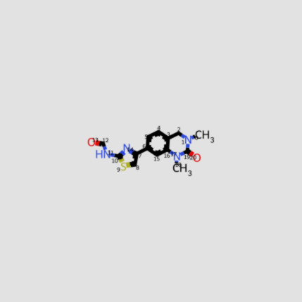 CN1Cc2ccc(-c3csc(NC=O)n3)cc2N(C)C1=O